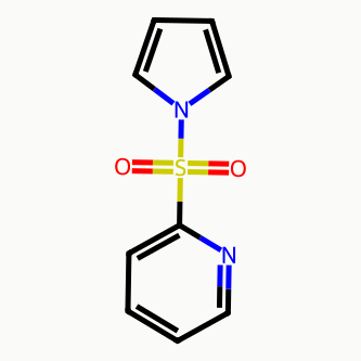 O=S(=O)(c1ccccn1)n1cccc1